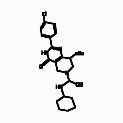 CCCCC1CN(C(O)NC2CCCCC2)Cc2c1nc(-c1ccc(Cl)cc1)[nH]c2=O